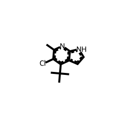 Cc1nc2[nH]ccc2c(C(C)(C)C)c1Cl